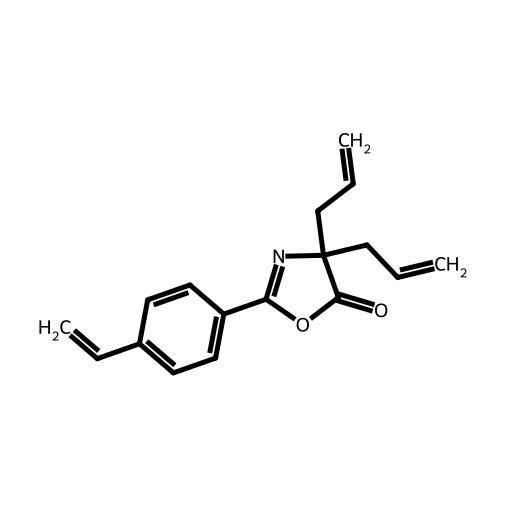 C=CCC1(CC=C)N=C(c2ccc(C=C)cc2)OC1=O